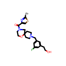 CC(C)c1nc(C(=O)N2CCOC3(CCN(Cc4cc(F)cc(CCO)c4)CC3)C2)cs1